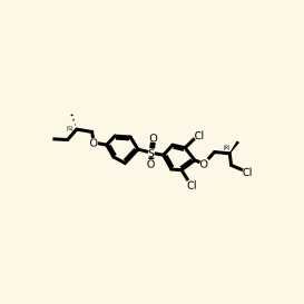 CC[C@H](C)COc1ccc(S(=O)(=O)c2cc(Cl)c(OC[C@@H](C)CCl)c(Cl)c2)cc1